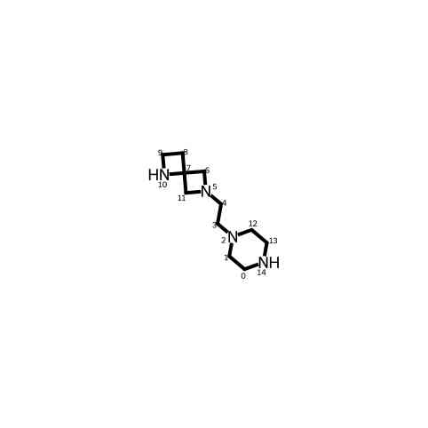 C1CN(CCN2CC3(CCN3)C2)CCN1